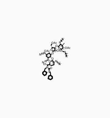 CC[C@H]([C@@H]1CC[C@@H](N=[N+]=[N-])[C@@H](O[C@H]2[C@H](O[C@@H]3O[C@H](COC(C)=O)[C@@H](O[C@H]4O[C@@H](CN=[N+]=[N-])[C@@H](OC(C)=O)[C@H](C)[C@H]4N=[N+]=[N-])[C@H]3OC(C)=O)[C@@H](OC(C)=O)[C@H](N=[N+]=[N-])C[C@@H]2N=[N+]=[N-])O1)N(Cc1ccccc1)C(=O)OCc1ccccc1